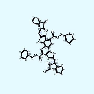 O=C1C(=O)c2ccccc2/C1=C/c1cc2c(C(=O)OCc3ccccc3)cc3c(cc(C(=O)OCc4ccccc4)c4cc(/C=C5\C(=O)C(=O)c6ccccc65)sc43)c2s1